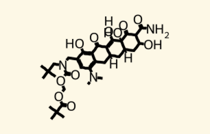 CN(C)c1cc(CN(CC(C)(C)C)C(=O)OCOC(=O)C(C)(C)C)c(O)c2c1C[C@H]1C[C@H]3CC(O)C(C(N)=O)C(=O)[C@@]3(O)C(O)=C1C2=O